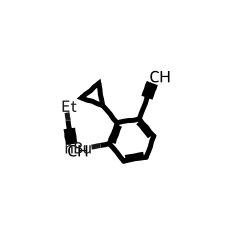 C#CCC.C#Cc1cccc(CCCC)c1C1CC1